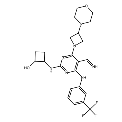 N=Cc1c(Nc2cccc(C(F)(F)F)c2)nc(NC2CCC2O)nc1N1CC(N2CCOCC2)C1